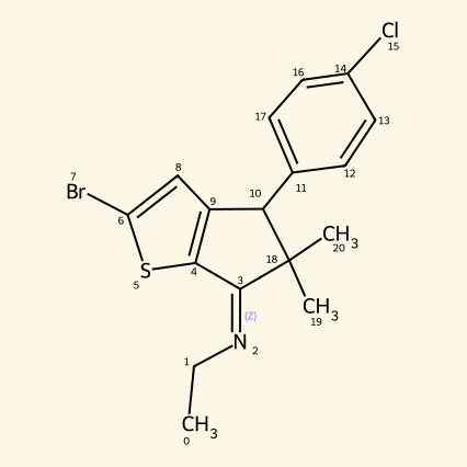 CC/N=C1\c2sc(Br)cc2C(c2ccc(Cl)cc2)C1(C)C